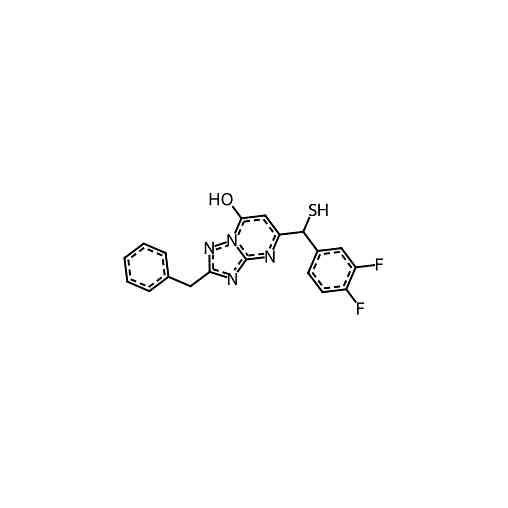 Oc1cc(C(S)c2ccc(F)c(F)c2)nc2nc(Cc3ccccc3)nn12